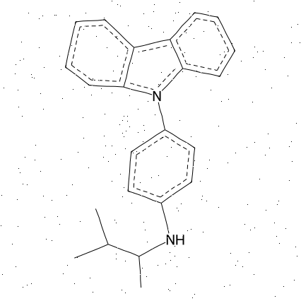 CC(C)C(C)Nc1ccc(-n2c3ccccc3c3ccccc32)cc1